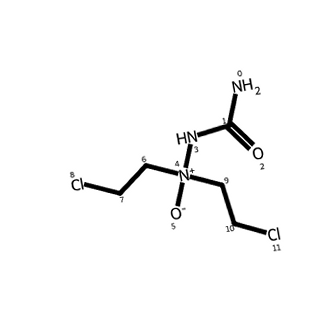 NC(=O)N[N+]([O-])(CCCl)CCCl